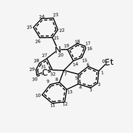 CCc1ccc2c(c1)C1(c3ccccc3-2)c2ccccc2N(c2ccccc2)c2ccccc21